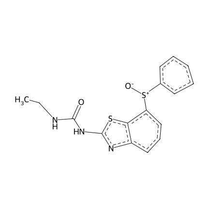 CCNC(=O)Nc1nc2cccc([S+]([O-])c3ccccc3)c2s1